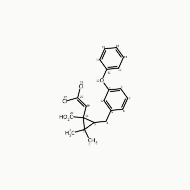 CC1(C)C(Cc2cccc(Oc3ccccc3)c2)C1(C=C(Cl)Cl)C(=O)O